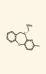 CNC[C@H]1Cc2ccccc2Oc2ccc(C)nc21